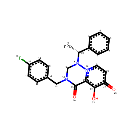 CCC[C@H](c1ccccc1)N1CN(Cc2ccc(F)cc2)C(=O)c2c(O)c(=O)ccn21